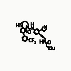 CC(C)(C)CC(=O)NCC#Cc1ccc(NC(=O)N2CCCCNc3ccc(-c4cccc(C(F)(F)F)c4)nc32)cc1C1=CN=CC1